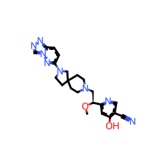 CO[C@@H](CN1CCC2(CC1)CCN(c1ccc3nncn3n1)C2)c1cc(O)c(C#N)cn1